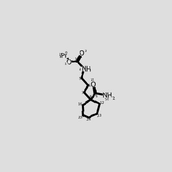 CC(C)OC(=O)NCCCC1(C(N)=O)CCCCC1